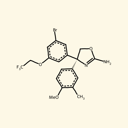 COc1ccc([C@]2(c3cc(Br)cc(OCC(F)(F)F)c3)COC(N)=N2)cc1C